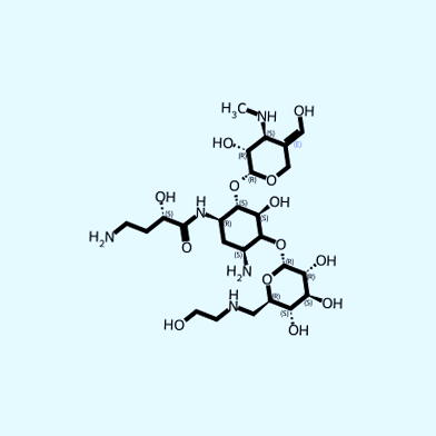 CN[C@H]1/C(=C\O)CO[C@H](O[C@H]2[C@H](NC(=O)[C@@H](O)CCN)C[C@H](N)C(O[C@H]3O[C@H](CNCCO)[C@@H](O)[C@H](O)[C@H]3O)[C@@H]2O)[C@@H]1O